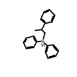 CC(C[SiH](c1ccccc1)c1ccccc1)c1ccccc1